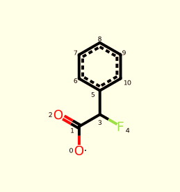 [O]C(=O)C(F)c1ccccc1